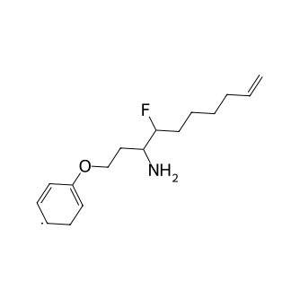 C=CCCCCC(F)C(N)CCOC1=CC[CH]C=C1